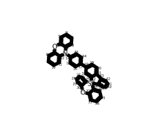 c1ccc2c(c1)Oc1ccccc1N2c1ccc(-c2ccc3c(c2)[Si]2(c4ccccc4Oc4ccccc42)c2ccccc2-3)cc1